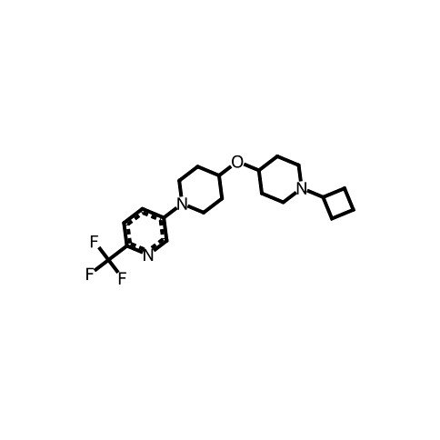 FC(F)(F)c1ccc(N2CCC(OC3CCN(C4CCC4)CC3)CC2)cn1